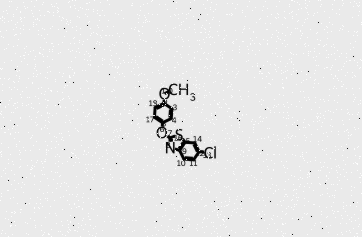 COc1ccc(Oc2nc3ccc(Cl)cc3s2)cc1